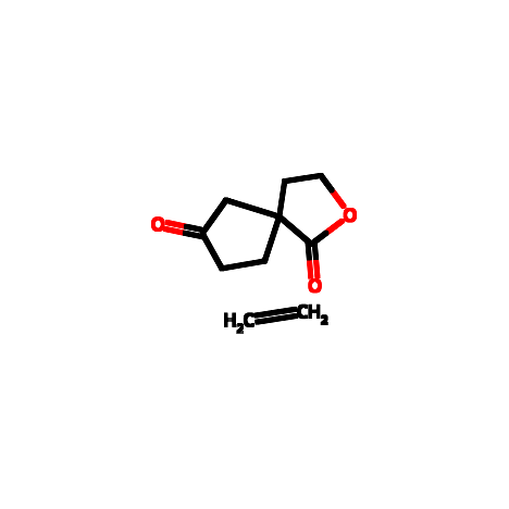 C=C.O=C1CCC2(CCOC2=O)C1